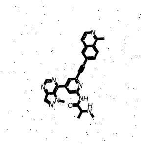 CNC(C)C(=O)Nc1cc(-c2ncnc3cnn(C)c23)cc(C#Cc2ccc3c(C)nccc3c2)n1